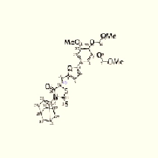 COCOc1cc(-c2ccc(/C=C3\SC(=S)N(C4C5CC6CC(C5)CC4C6)C3=O)o2)cc(OC)c1OCOC